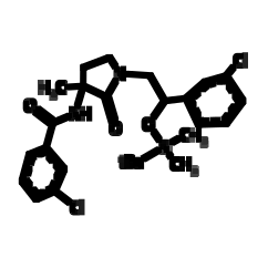 CC1(NC(=O)c2cccc(Cl)c2)CCN(CC(O[Si](C)(C)C(C)(C)C)c2cccc(Cl)c2)C1=O